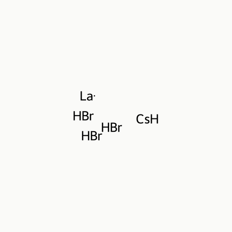 Br.Br.Br.[CsH].[La]